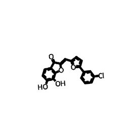 O=C1/C(=C/c2ccc(-c3cccc(Cl)c3)o2)Oc2c1ccc(O)c2O